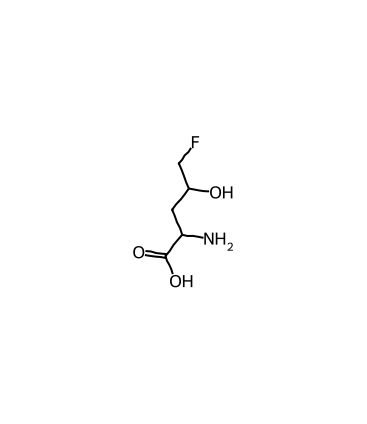 NC(CC(O)CF)C(=O)O